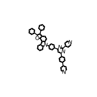 c1ccc(-c2oc3c(ccc4c3c3ccccc3n4-c3ccc(-c4cc(-c5ccc(-c6ccncc6)cc5)nc(-c5ccncc5)n4)cc3)c2-c2ccccc2)cc1